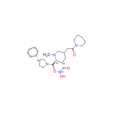 CN1CC(CC(=O)N2CCCCC2)C[C@H](C(=O)NO)[C@H]1C(=O)N1CC[C@H](c2ccccc2)C1